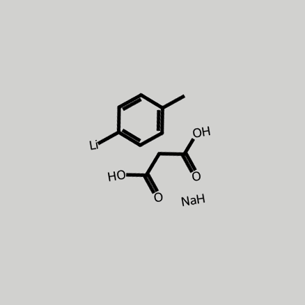 O=C(O)CC(=O)O.[Li][c]1ccc(C)cc1.[NaH]